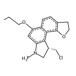 CCCOc1cc2c(c3c4c(ccc13)CCO4)[C@H](CCl)CN2P